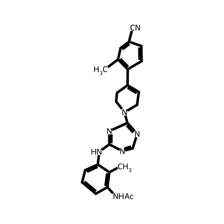 CC(=O)Nc1cccc(Nc2ncnc(N3CC=C(c4ccc(C#N)cc4C)CC3)n2)c1C